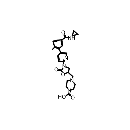 Cc1ccc(C(=O)NC2CC2)cc1-c1ccc(N2CC(CN3CCN(C(=O)O)CC3)OC2=O)nc1